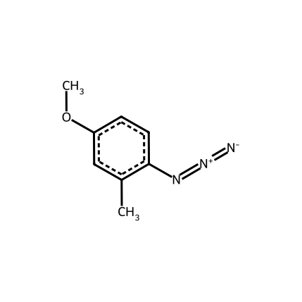 COc1ccc(N=[N+]=[N-])c(C)c1